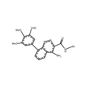 CCCNC(=O)c1nnc2c(-c3cc(C=O)c(OC)c(OC)c3)cccc2c1N